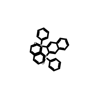 O=P(c1ccccc1)(c1ccccc1)c1cc2ccccc2cc1P(=O)(c1ccccc1)c1ccccc1